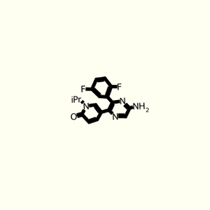 CC(C)n1cc(-c2ncc(N)nc2-c2cc(F)ccc2F)ccc1=O